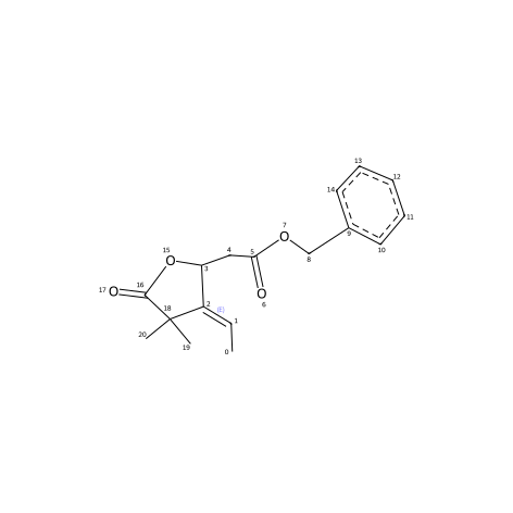 C/C=C1/C(CC(=O)OCc2ccccc2)OC(=O)C1(C)C